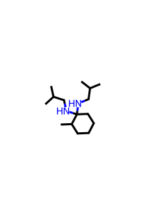 CC(C)CNC1(NCC(C)C)CCCCC1C